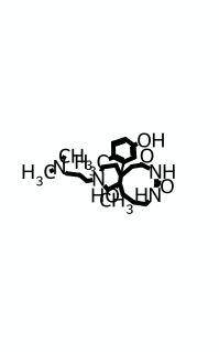 Cc1ccc(O)cc1[C@]12CCN(CCCN(C)C)[C@H](C)[C@]1(O)CCCNC(=O)NC(=O)C2